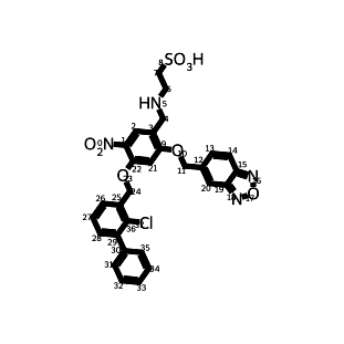 O=[N+]([O-])c1cc(CNCCS(=O)(=O)O)c(OCc2ccc3nonc3c2)cc1OCc1cccc(-c2ccccc2)c1Cl